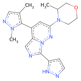 Cc1cnn(C)c1-c1cc(N2CCOCC2C)nn2c(-c3ccn[nH]3)ncc12